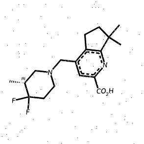 C[C@@H]1CN(Cc2cc(C(=O)O)nc3c2CCC3(C)C)CCC1(F)F